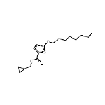 CCCCCCCCOc1ccc(C(=O)OCC2CC2)s1